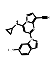 N#Cc1cnn2c(NC3CC3)cc(-n3ncc4ccc(N)cc43)nc12